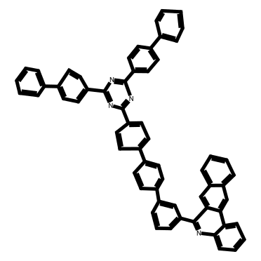 c1ccc(-c2ccc(-c3nc(-c4ccc(-c5ccccc5)cc4)nc(-c4ccc(-c5ccc(-c6cccc(-c7nc8ccccc8c8cc9ccccc9cc78)c6)cc5)cc4)n3)cc2)cc1